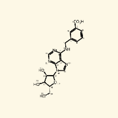 O=C(O)c1cccc(CNc2ncnc3c2ncn3C2O[C@H](CO)[C@@H](O)[C@H]2O)c1